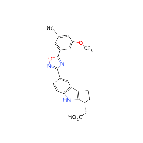 N#Cc1cc(OC(F)(F)F)cc(-c2nc(-c3ccc4[nH]c5c(c4c3)CC[C@@H]5CC(=O)O)no2)c1